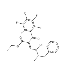 CCOC(=O)/C(=C/N(O)C(C)Cc1ccccc1)C(=O)c1c(F)c(F)c(F)c(F)c1F